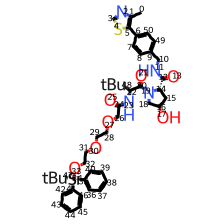 Cc1ncsc1-c1ccc(CNC(=O)[C@@H]2C[C@@H](O)CN2C(=O)C(NC(=O)COCCOCCO[Si](c2ccccc2)(c2ccccc2)C(C)(C)C)C(C)(C)C)cc1